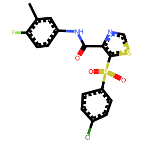 Cc1cc(NC(=O)c2ncsc2S(=O)(=O)c2ccc(Cl)cc2)ccc1F